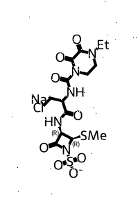 CCN1CCN(C(=O)NC(CCl)C(=O)N[C@@H]2C(=O)N(S(=O)(=O)[O-])[C@@H]2SC)C(=O)C1=O.[Na+]